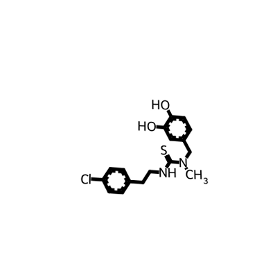 CN(Cc1ccc(O)c(O)c1)C(=S)NCCc1ccc(Cl)cc1